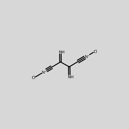 N=C(C#[N+]Cl)C(=N)C#[N+]Cl